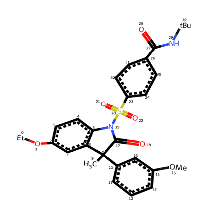 CCOc1ccc2c(c1)C(C)(c1cccc(OC)c1)C(=O)N2S(=O)(=O)c1ccc(C(=O)NC(C)(C)C)cc1